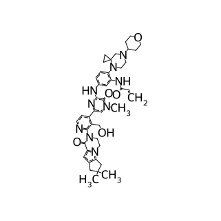 C=CC(=O)Nc1cc(Nc2nc(-c3ccnc(N4CCn5c(cc6c5CC(C)(C)C6)C4=O)c3CO)cn(C)c2=O)ccc1N1CCN(C2CCOCC2)CC12CC2